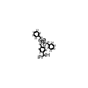 CC(C)Nc1ccc(CP(=O)(OCc2ccccc2)OCc2ccccc2)cc1